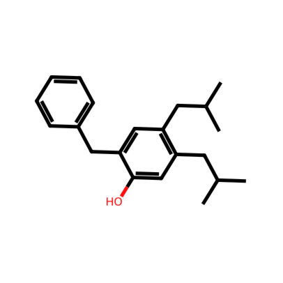 CC(C)Cc1cc(O)c(Cc2ccccc2)cc1CC(C)C